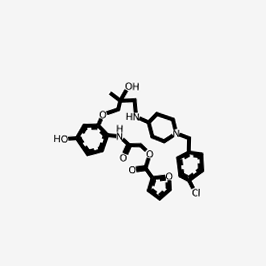 CC(O)(CNC1CCN(Cc2ccc(Cl)cc2)CC1)COc1cc(O)ccc1NC(=O)COC(=O)c1ccco1